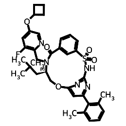 Cc1cccc(C)c1-c1cc2nc(n1)NS(=O)(=O)c1cccc(c1)C(=O)N(Cc1ncc(OC3CCC3)cc1F)[C@H](CC(C)(C)C)CO2